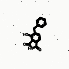 O=C1NC(=O)c2c1ccc(Cc1ccccc1)c2O